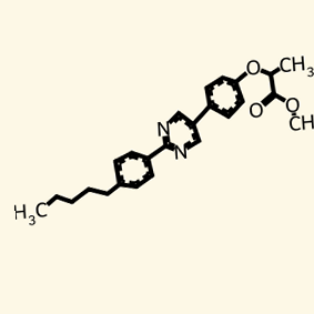 CCCCCc1ccc(-c2ncc(-c3ccc(OC(C)C(=O)OC)cc3)cn2)cc1